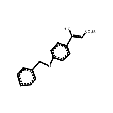 CCOC(=O)/C=C(\C)c1ccc(OCc2ccccc2)cc1